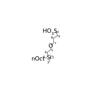 CCCCCCCC[Si](C)(C)CCOCCCS(=O)(=O)O